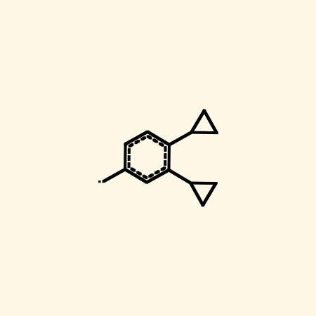 [CH2]c1ccc(C2CC2)c(C2CC2)c1